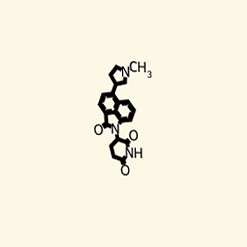 CN1CCC(c2ccc3c4c(cccc24)N(C2CCC(=O)NC2=O)C3=O)C1